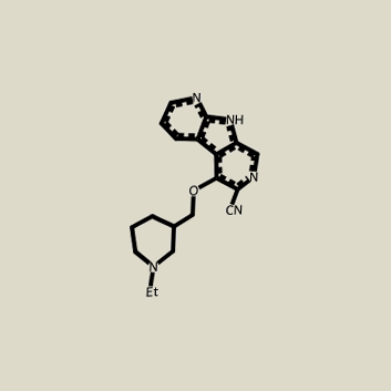 CCN1CCCC(COc2c(C#N)ncc3[nH]c4ncccc4c23)C1